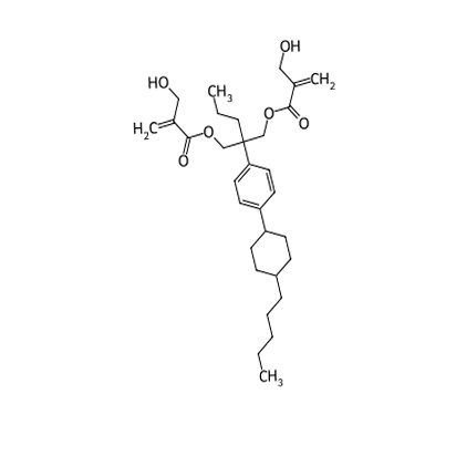 C=C(CO)C(=O)OCC(CCC)(COC(=O)C(=C)CO)c1ccc(C2CCC(CCCCC)CC2)cc1